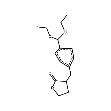 CCOC(OCC)c1ccc(CC2CCOC2=O)cc1